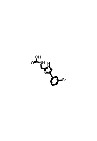 O=C(O)NCc1nc(-c2cccc(Br)c2)c[nH]1